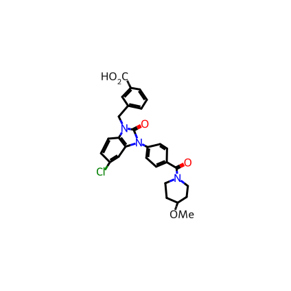 COC1CCN(C(=O)c2ccc(-n3c(=O)n(Cc4cccc(C(=O)O)c4)c4ccc(Cl)cc43)cc2)CC1